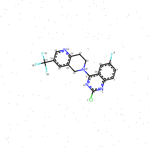 Fc1ccc2nc(Cl)nc(N3CCc4ncc(C(F)(F)F)cc4C3)c2c1